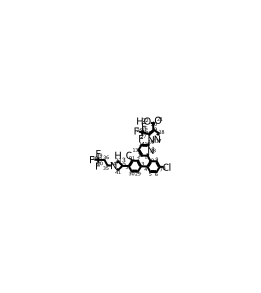 Cc1cc(-c2ccc(Cl)cc2-c2cccc(-n3ncc(C(=O)O)c3C(F)(F)F)n2)ccc1C1CN(CCC(F)(F)F)C1